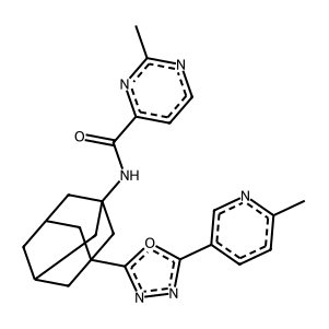 Cc1ccc(-c2nnc(C34CC5CC(CC(NC(=O)c6ccnc(C)n6)(C5)C3)C4)o2)cn1